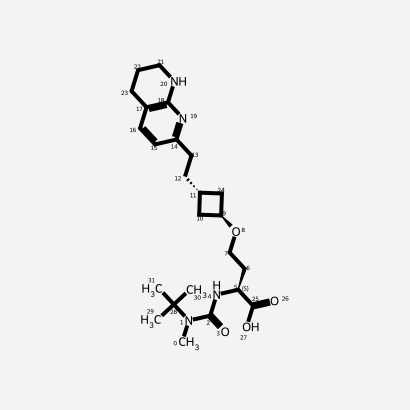 CN(C(=O)N[C@@H](CCO[C@H]1C[C@H](CCc2ccc3c(n2)NCCC3)C1)C(=O)O)C(C)(C)C